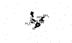 Cc1nc(OCC2CCC2)cc(Oc2cc(C#N)ccc2-n2cc([C@@H](O)CN)cn2)n1